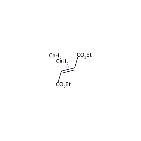 CCOC(=O)/C=C/C(=O)OCC.[CaH2].[CaH2]